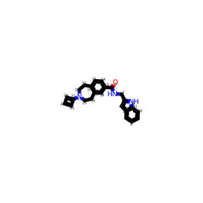 O=C(NCc1cc2ccccc2[nH]1)c1ccc2c(c1)CCN(C1=CC=C1)CC2